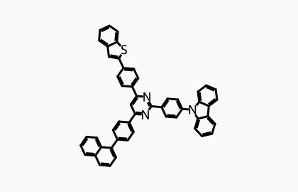 c1ccc2sc(-c3ccc(-c4cc(-c5ccc(-c6cccc7ccccc67)cc5)nc(-c5ccc(-n6c7ccccc7c7ccccc76)cc5)n4)cc3)cc2c1